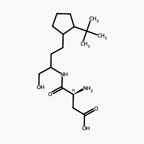 CC(C)(C)C1CCCC1CCC(CO)NC(=O)[C@@H](N)CC(=O)O